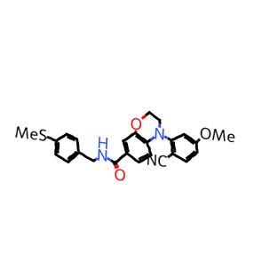 COc1ccc(C#N)c(N2CCOc3cc(C(=O)NCc4ccc(SC)cc4)ccc32)c1